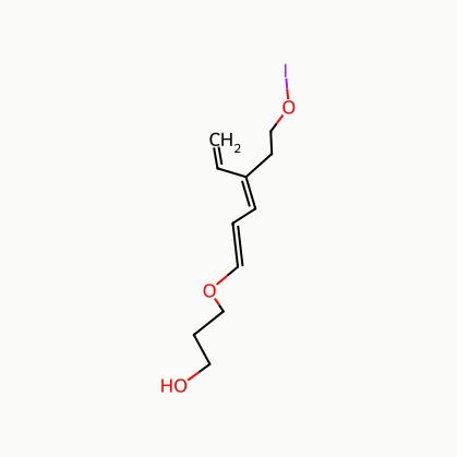 C=C/C(=C\C=C\OCCCO)CCOI